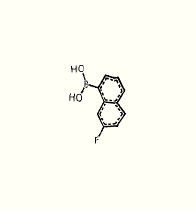 OB(O)c1cccc2ccc(F)cc12